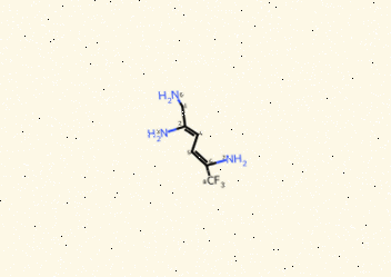 NC/C(N)=C/C=C(\N)C(F)(F)F